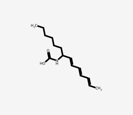 CC=CC=CC=CC(CCCCCC)NC(=O)O